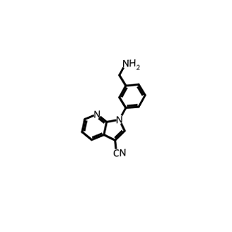 N#Cc1cn(-c2cccc(CN)c2)c2ncccc12